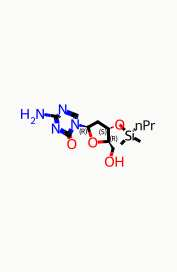 CCC[Si](C)(C)O[C@H]1C[C@H](n2cnc(N)nc2=O)O[C@@H]1CO